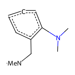 C[N]Cc1ccccc1N(C)C